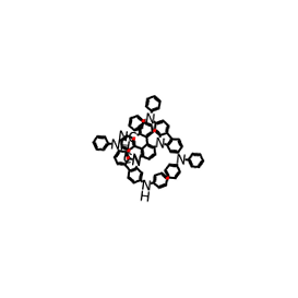 N#Cc1ccccc1-c1c(-n2c3cc(Nc4ccccc4)ccc3c3ccc(Nc4ccccc4)cc32)ccc(-n2c3cc(N(c4ccccc4)c4ccccc4)ccc3c3ccc(N(c4ccccc4)c4ccccc4)cc32)c1-c1ccccc1C#N